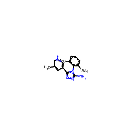 COc1cccc(OC)c1-n1c(N)nnc1C1=CNCC(C)=C1